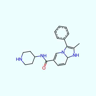 CC1=C(c2ccccc2)N2C=C(C(=O)NC3CCNCC3)C=CC2N1